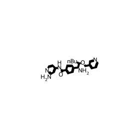 CCCCC(OCc1cccnc1)C(N)c1ccc(C(=O)Nc2ccnc(N)c2)cc1